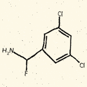 NC(F)c1cc(Cl)cc(Cl)c1